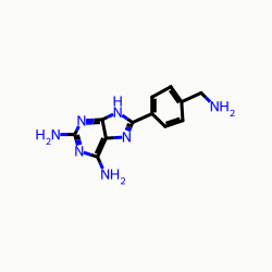 NCc1ccc(-c2nc3c(N)nc(N)nc3[nH]2)cc1